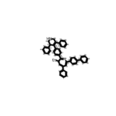 CCC1C=C(c2ccccc2)C=C(c2ccc(-c3ccccc3)cc2)N=C1c1ccc(C2=C(c3ccccc3)CNCC2c2ccccc2)cc1